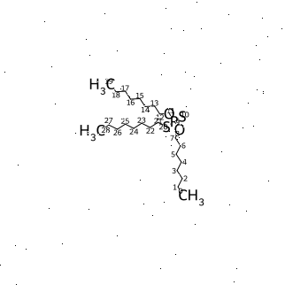 CCCCCCCCOP(=S)(OCCCCCCCC)SCCCCCCCC